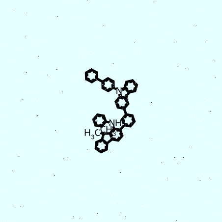 CC1(C)c2ccccc2-c2ccc(-c3cccc(-c4ccc5c(c4)c4ccccc4n5-c4ccc(-c5ccccc5)cc4)c3)c(Nc3ccccc3)c21